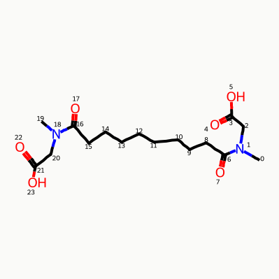 CN(CC(=O)O)C(=O)CCCCCCCCC(=O)N(C)CC(=O)O